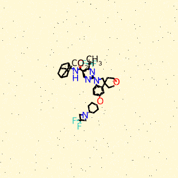 CC(F)(F)c1nc(N2CC3(CCOCC3)c3cc(O[C@H]4CC[C@@H](N5CC(F)(F)C5)CC4)ccc32)ncc1C(=O)NC1(C(=O)O)C2CC3CC(C2)CC1C3